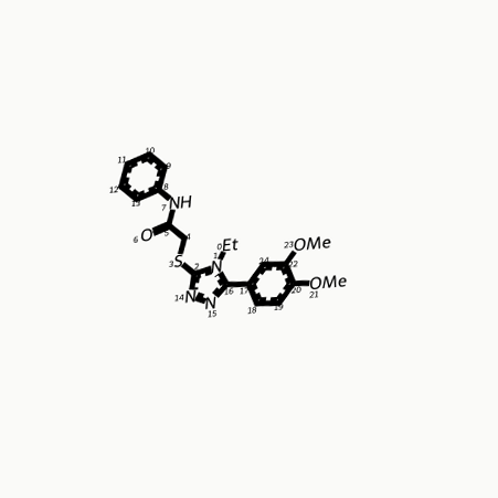 CCn1c(SCC(=O)Nc2ccccc2)nnc1-c1ccc(OC)c(OC)c1